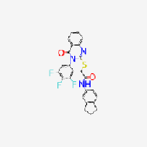 O=C(CSc1nc2ccccc2c(=O)n1-c1cc(F)c(F)c(F)c1)Nc1ccc2c(c1)CCC2